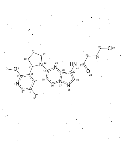 COc1ncc(F)cc1C1CCCN1c1ccn2ncc(NC(=O)CCCCl)c2n1